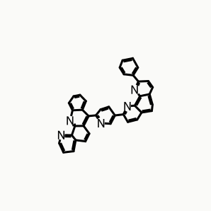 c1ccc(-c2ccc3ccc4ccc(-c5ccc(-c6c7ccccc7nc7c6ccc6cccnc67)nc5)nc4c3n2)cc1